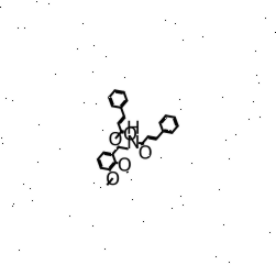 COc1cccc(C(CNC(=O)C=Cc2ccccc2)OC(=O)C=Cc2ccccc2)c1OC